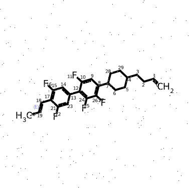 C=CCCC1CCC(c2cc(F)c(-c3cc(F)c(/C=C/C)c(F)c3)c(F)c2F)CC1